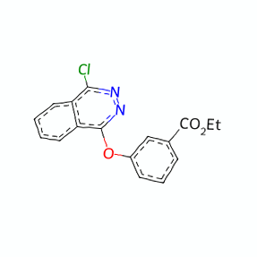 CCOC(=O)c1cccc(Oc2nnc(Cl)c3ccccc23)c1